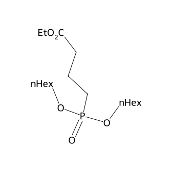 CCCCCCOP(=O)(CCCC(=O)OCC)OCCCCCC